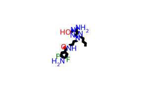 CCCCc1nc2c(N)nc(O)nc2n1CCCCNC(=O)c1cc(F)c(N)c(F)c1